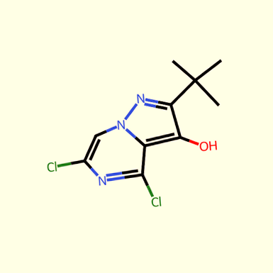 CC(C)(C)c1nn2cc(Cl)nc(Cl)c2c1O